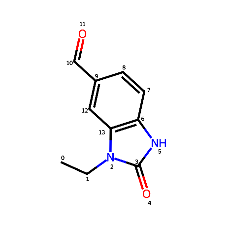 CCn1c(=O)[nH]c2ccc(C=O)cc21